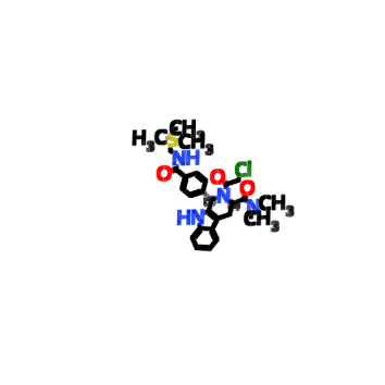 CN(C)C(=O)[C@H]1Cc2c([nH]c3ccccc23)[C@H](c2ccc(C(=O)NCS(C)(C)C)cc2)N1C(=O)CCl